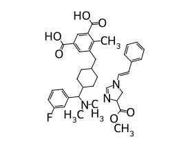 COC(=O)C1CN(C=Cc2ccccc2)C=N1.Cc1c(CC2CCC(C(c3cccc(F)c3)N(C)C)CC2)cc(C(=O)O)cc1C(=O)O